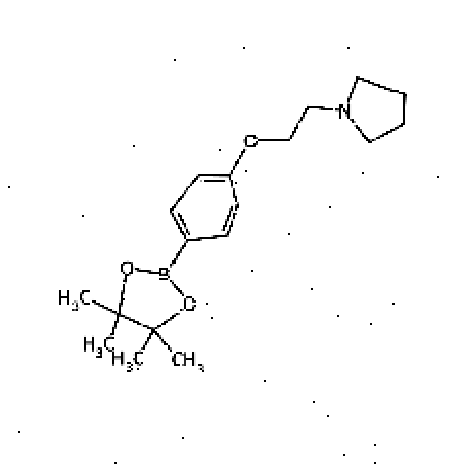 CC1(C)OB(c2ccc(OCCN3CCCC3)cc2)OC1(C)C